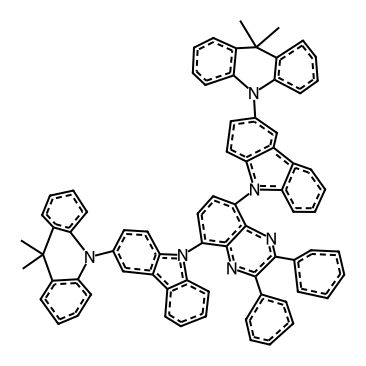 CC1(C)c2ccccc2N(c2ccc3c(c2)c2ccccc2n3-c2ccc(-n3c4ccccc4c4cc(N5c6ccccc6C(C)(C)c6ccccc65)ccc43)c3nc(-c4ccccc4)c(-c4ccccc4)nc23)c2ccccc21